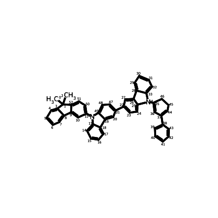 CC1(C)c2ccccc2-c2cc(-n3c4ccccc4c4cc(-c5ccc6c(c5)c5ccccc5n6C5=CC(c6ccccc6)=CCC5)ccc43)ccc21